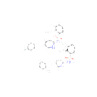 Cc1c(Cl)cccc1S(=O)(=O)Nc1ccc(CCc2ccc(F)cc2)cn1.Cc1c(Cl)cccc1S(=O)(=O)Nc1ccc(CCc2ccccc2C(F)(F)F)cn1